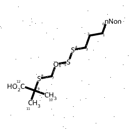 CCCCCCCCCCCCSSOCSC(C)(C)C(=O)O